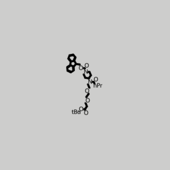 CCCC(=O)N(CCOCCOCCC(=O)OC(C)(C)C)C1CCN(C(=O)OCC2c3ccccc3-c3ccccc32)CC1